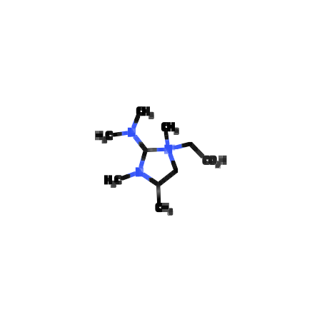 CC1C[N+](C)(CC(=O)O)C(N(C)C)N1C